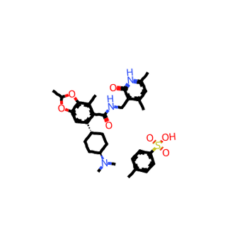 Cc1cc(C)c(CNC(=O)c2c(C)c3c(cc2[C@H]2CC[C@H](N(C)C)CC2)OC(C)O3)c(=O)[nH]1.Cc1ccc(S(=O)(=O)O)cc1